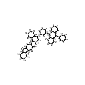 c1ccc(-c2c3ccccc3c(-c3cccc(-c4cc5oc6cc7c(cc6c5c5ccccc45)oc4ccccc47)c3)c3ccccc23)cc1